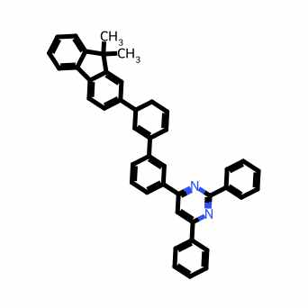 CC1(C)c2ccccc2-c2ccc(C3C=C(c4cccc(-c5cc(-c6ccccc6)nc(-c6ccccc6)n5)c4)C=CC3)cc21